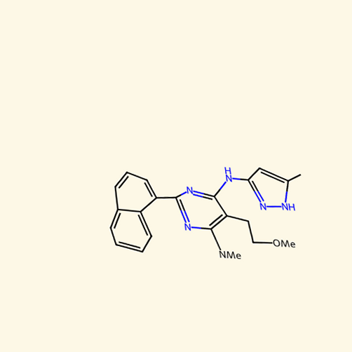 CNc1nc(-c2cccc3ccccc23)nc(Nc2cc(C)[nH]n2)c1CCOC